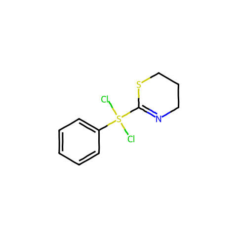 ClS(Cl)(C1=NCCCS1)c1ccccc1